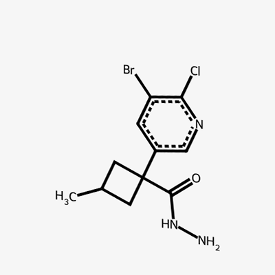 CC1CC(C(=O)NN)(c2cnc(Cl)c(Br)c2)C1